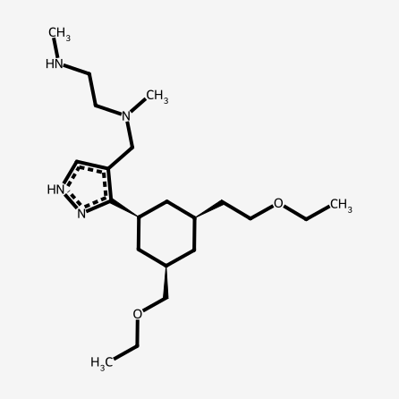 CCOCC[C@H]1C[C@@H](COCC)C[C@@H](c2n[nH]cc2CN(C)CCNC)C1